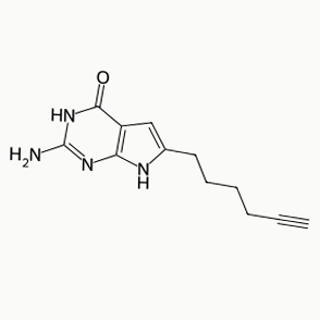 C#CCCCCc1cc2c(=O)[nH]c(N)nc2[nH]1